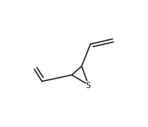 C=CC1SC1C=C